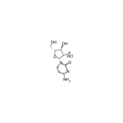 Cl.Nc1ccn([C@@H]2O[C@H](CO)[C@@H](O)C2F)c(=O)n1